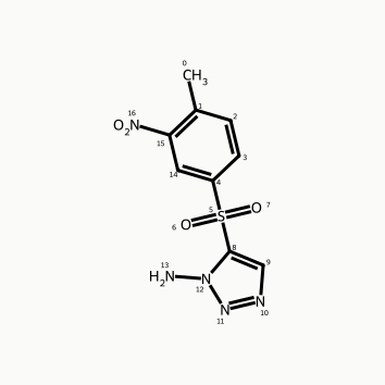 Cc1ccc(S(=O)(=O)c2cnnn2N)cc1[N+](=O)[O-]